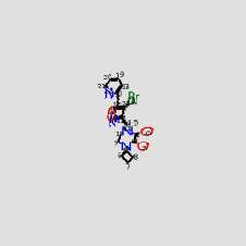 O=C1C(=O)N(C2CCC2)CCN1Cc1noc(-c2ccccn2)c1Br